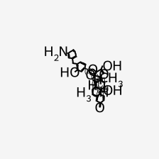 C[C@]12C[C@H](O)[C@H]3[C@@H](CCC4=CC(=O)C=C[C@@]43C)[C@@H]1C[C@]1(C2)O[C@@H](c2ccc(Cc3cccc(N)c3)c(O)c2)OC1C(=O)CO